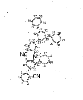 N#Cc1ccccc1-c1ccc2c(c1)c1ccccc1n2-c1cc(-c2cc(-c3ccccc3)cc(-c3ccccc3)c2)ccc1C#N